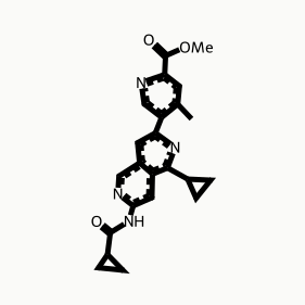 COC(=O)c1cc(C)c(-c2cc3cnc(NC(=O)C4CC4)cc3c(C3CC3)n2)cn1